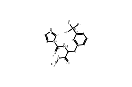 COC(=O)C(Cc1cccc(C(F)(F)F)c1)NC(=O)n1ccnc1